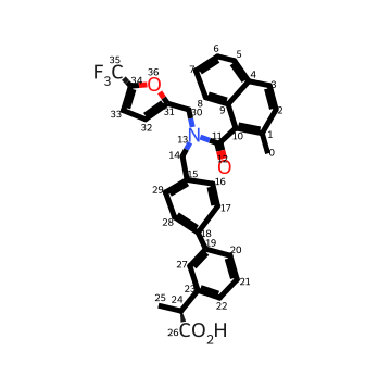 Cc1ccc2ccccc2c1C(=O)N(Cc1ccc(-c2cccc([C@H](C)C(=O)O)c2)cc1)Cc1ccc(C(F)(F)F)o1